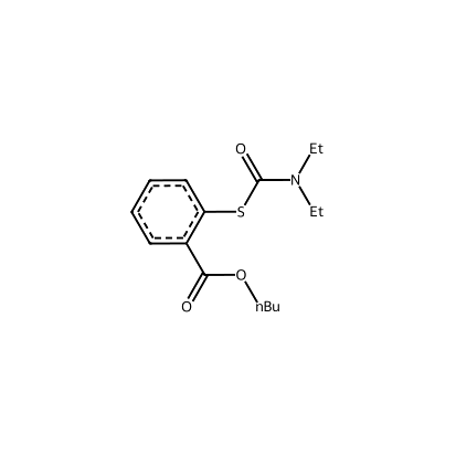 CCCCOC(=O)c1ccccc1SC(=O)N(CC)CC